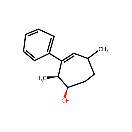 CC1C=C(c2ccccc2)[C@H](C)[C@H](O)CC1